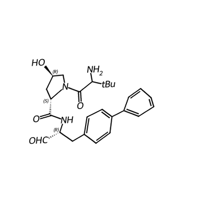 CC(C)(C)C(N)C(=O)N1C[C@H](O)C[C@H]1C(=O)N[C@@H](C=O)Cc1ccc(-c2ccccc2)cc1